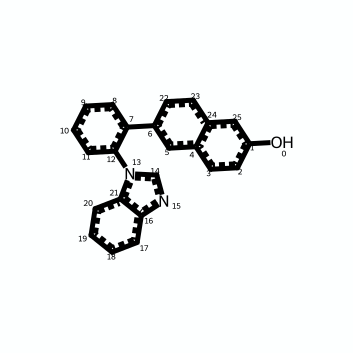 Oc1ccc2cc(-c3ccccc3-n3cnc4ccccc43)ccc2c1